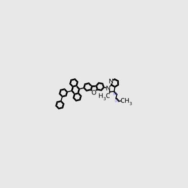 C/C=C\C=C1\c2cccnc2N(c2ccc3c(c2)oc2cc(-c4c5ccccc5c(-c5cccc(-c6ccccc6)c5)c5ccccc45)ccc23)C1C